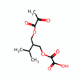 CC(=O)C(=O)OCC(COC(=O)C(=O)O)C(C)C